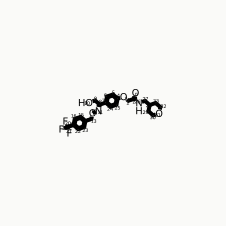 O=C(COc1ccc(C(CO)=NOCc2ccc(C(F)(F)F)cc2)cc1)NCC1CCOCC1